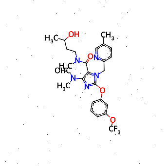 Cc1ccc(Cn2c(Oc3cccc(OC(F)(F)F)c3)nc(N(C)C=O)c2C(=O)N(C)CCC(C)O)nc1